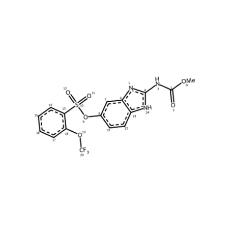 COC(=O)Nc1nc2cc(OS(=O)(=O)c3ccccc3OC(F)(F)F)ccc2[nH]1